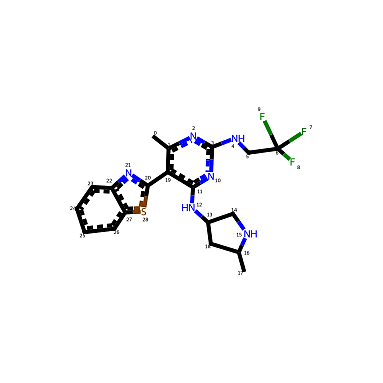 Cc1nc(NCC(F)(F)F)nc(NC2CNC(C)C2)c1-c1nc2ccccc2s1